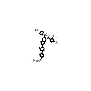 CCCCCCCOc1ccc(-c2cnc(-c3ccc(C[C@H](NC(=O)c4ccc(C(C)(C)C)cc4C)C(=O)N4CC[C@H](C=O)C4)cc3)nc2)cc1